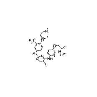 CCCN1C(=O)COc2ccc(Nc3nc(Nc4ccc(N5CCN(C)CC5)c(C(F)(F)F)c4)ncc3F)nc21